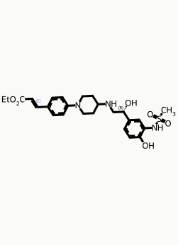 CCOC(=O)/C=C/c1ccc(N2CCC(NC[C@H](O)c3ccc(O)c(NS(C)(=O)=O)c3)CC2)cc1